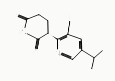 CC(C)c1cnc([C@@H]2CCC(=O)NC2=O)c(F)c1